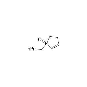 CCCCP1(=O)C=CCC1